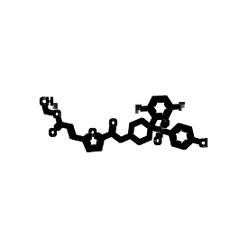 CCOC(=O)C=Cc1ccc(C(=O)CC2CCC(c3cc(F)ccc3F)(S(=O)(=O)c3ccc(Cl)cc3)CC2)o1